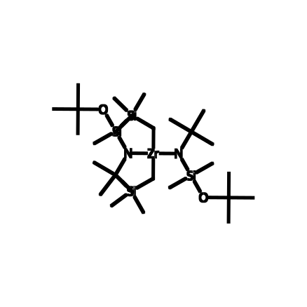 CC(C)(C)O[Si](C)(C)[N](C(C)(C)C)[Zr]([CH2][Si](C)(C)C)([CH2][Si](C)(C)C)[N](C(C)(C)C)[Si](C)(C)OC(C)(C)C